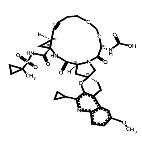 COc1ccc2nc(C3CC3)c3c(c2c1)CC[C@@]1(C[C@H]2C(=O)N[C@]4(C(=O)NS(=O)(=O)C5(C)CC5)C[C@H]4/C=C\CCCCC[C@H](NC(=O)O)C(=O)N2C1)O3